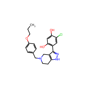 CCCOc1ccc(CN2CCc3[nH]nc(-c4cc(Cl)c(O)cc4O)c3C2)cc1